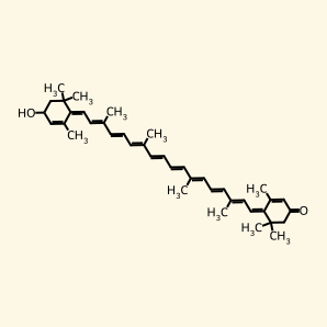 CC1=CC(=O)CC(C)(C)/C1=C/C=C(C)/C=C/C=C(C)/C=C/C=C/C(C)=C/C=C/C(C)=C/C=C1\C(C)=CC(O)CC1(C)C